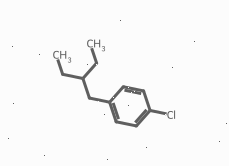 CCC(CC)Cc1ccc(Cl)cc1